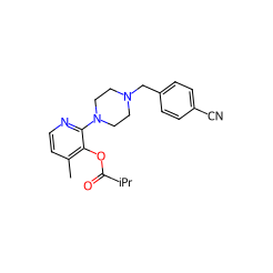 Cc1ccnc(N2CCN(Cc3ccc(C#N)cc3)CC2)c1OC(=O)C(C)C